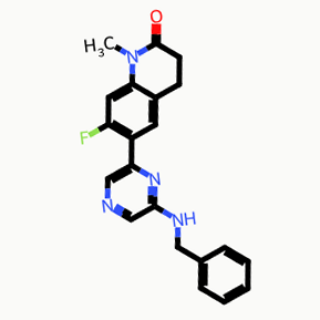 CN1C(=O)CCc2cc(-c3cncc(NCc4ccccc4)n3)c(F)cc21